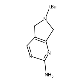 CC(C)(C)N1Cc2cnc(N)nc2C1